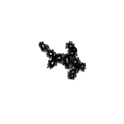 c1ccc(-c2ccc(-n3c4ccccc4c4cc(-c5ccc(-c6cccc(N(c7ccccc7)c7ccc8ccccc8c7)c6)c(-c6ccc7oc8ccccc8c7c6)c5)ccc43)cc2)cc1